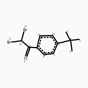 CC(C)(C)c1ccc(C(=O)C(Br)Br)cc1